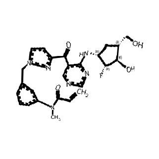 C=CC(=O)N(C)c1cccc(Cn2ccc(C(=O)c3cncnc3N[C@@H]3C[C@H](CO)[C@@H](O)[C@@H]3F)n2)c1